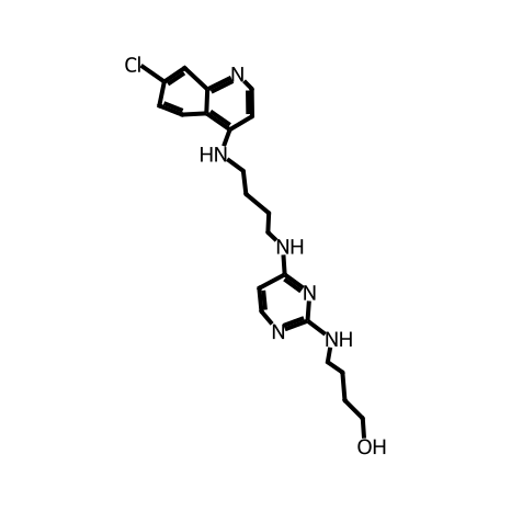 OCCCCNc1nccc(NCCCCNc2ccnc3cc(Cl)ccc23)n1